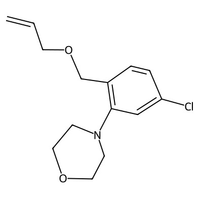 C=CCOCc1ccc(Cl)cc1N1CCOCC1